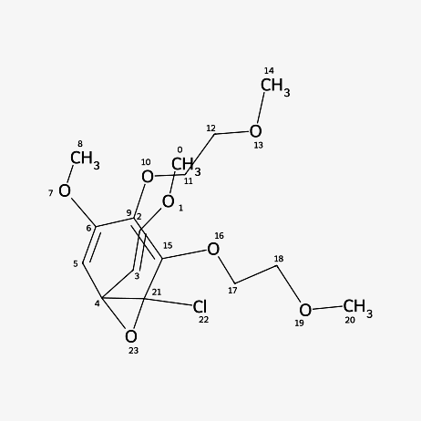 COC=CC12C=C(OC)C(OCCOC)=C(OCCOC)C1(Cl)O2